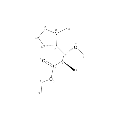 CCOC(=O)[C@H](C)[C@@H](OC)[C@@H]1CCCN1C